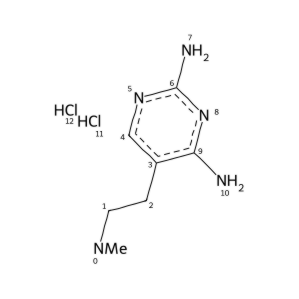 CNCCc1cnc(N)nc1N.Cl.Cl